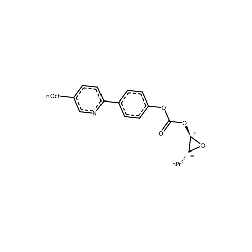 CCCCCCCCc1ccc(-c2ccc(OC(=O)O[C@H]3O[C@@H]3CCC)cc2)nc1